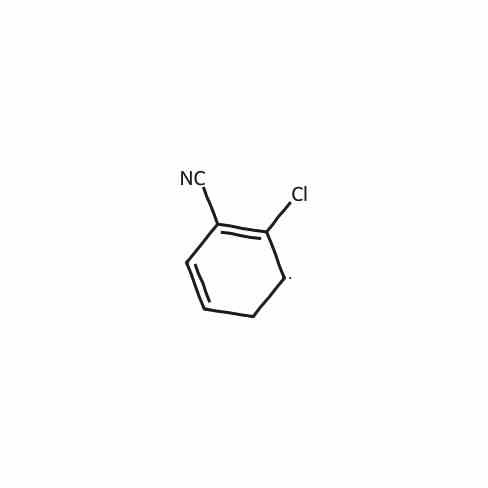 N#CC1=C(Cl)[CH]CC=C1